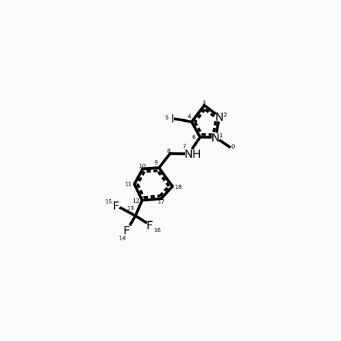 Cn1ncc(I)c1NCc1ccc(C(F)(F)F)cc1